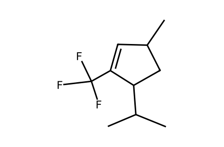 CC1C=C(C(F)(F)F)C(C(C)C)C1